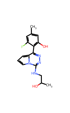 Cc1cc(O)c(-c2nnc(NCC(C)O)n3cccc23)c(F)c1